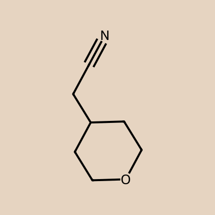 N#CCC1CCOCC1